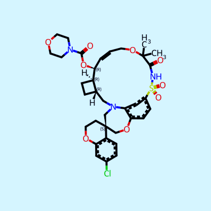 CC1(C)OCC=C[C@H](OC(=O)N2CCOCC2)[C@@H]2CC[C@H]2CN2C[C@@]3(CCOc4cc(Cl)ccc43)COc3ccc(cc32)S(=O)(=O)NC1=O